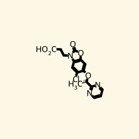 C[C@H](Oc1cc2oc(=O)n(CCC(=O)O)c2cc1Cl)c1ncccn1